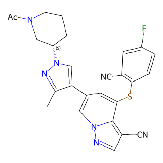 CC(=O)N1CCC[C@H](n2cc(-c3cc(Sc4ccc(F)cc4C#N)c4c(C#N)cnn4c3)c(C)n2)C1